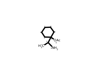 CC(=O)OC1(C(C)N)CCCCC1